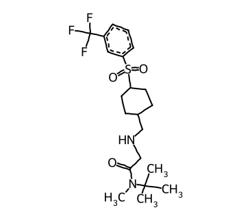 CN(C(=O)CNCC1CCC(S(=O)(=O)c2cccc(C(F)(F)F)c2)CC1)C(C)(C)C